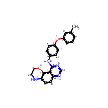 Cc1cccc(Oc2ccc(Nc3ncnc4ccc5c(c34)OCCN5)cc2)c1